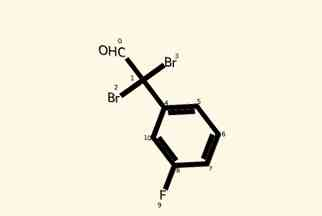 O=CC(Br)(Br)c1cccc(F)c1